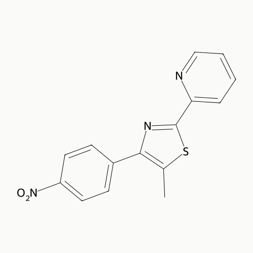 Cc1sc(-c2ccccn2)nc1-c1ccc([N+](=O)[O-])cc1